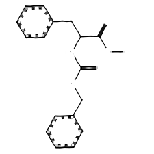 COC(=O)C(Cc1ccccc1)NC(=O)NCc1ccccc1